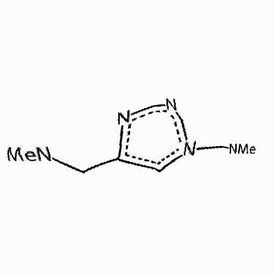 CNCc1cn(NC)nn1